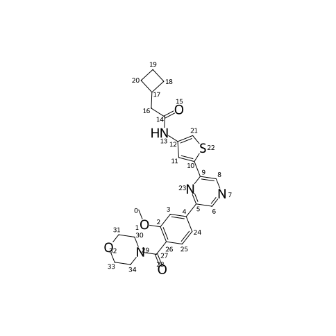 COc1cc(-c2cncc(-c3cc(NC(=O)CC4CCC4)cs3)n2)ccc1C(=O)N1CCOCC1